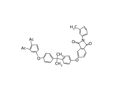 CC(=O)c1ccc(Oc2ccc(C(C)(C)c3ccc(Oc4ccc5c(c4)C(=O)N(c4cccc(C)c4)C5=O)cc3)cc2)cc1C(C)=O